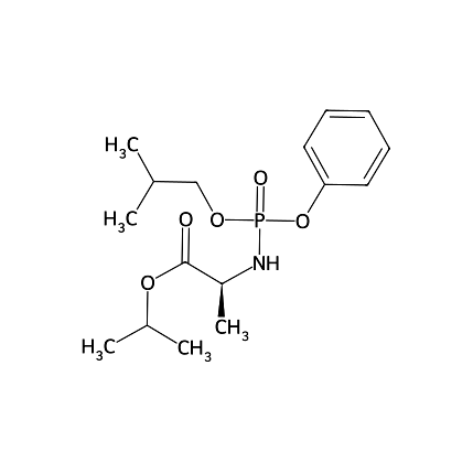 CC(C)COP(=O)(N[C@@H](C)C(=O)OC(C)C)Oc1ccccc1